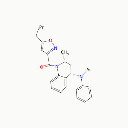 CC(=O)N(c1ccccc1)[C@H]1C[C@@H](C)N(C(=O)c2cc(CC(C)C)on2)c2ccccc21